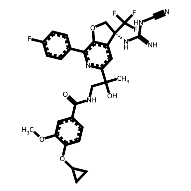 COc1cc(C(=O)NCC(C)(O)c2cc3c(c(-c4ccc(F)cc4)n2)OC[C@@]3(NC(=N)NC#N)C(F)(F)F)ccc1OC1CC1